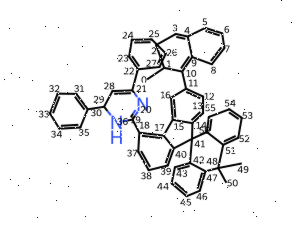 CC1CC=c2ccccc2=C1c1ccc2c(c1)-c1c(C3=NC(c4ccccc4)=CC(c4ccccc4)N3)cccc1C21c2ccccc2C(C)(C)c2ccccc21